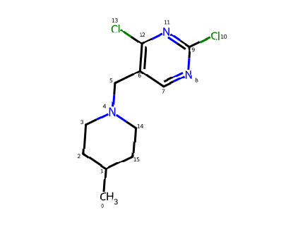 CC1CCN(Cc2cnc(Cl)nc2Cl)CC1